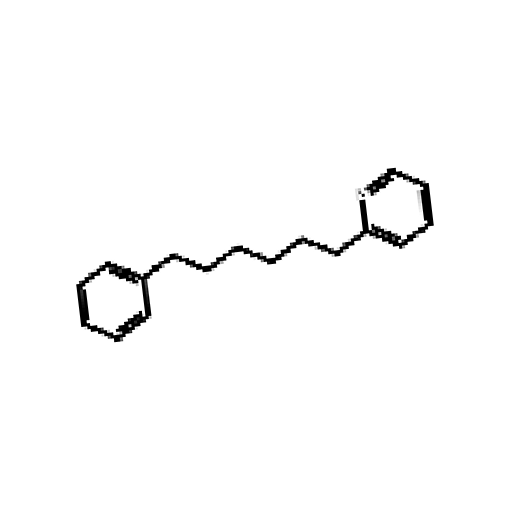 [CH](CCCc1ccccn1)CCc1ccccc1